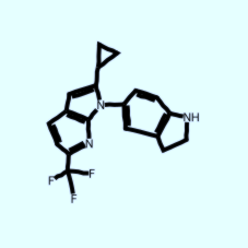 FC(F)(F)c1ccc2cc(C3CC3)n(-c3ccc4c(c3)CCN4)c2n1